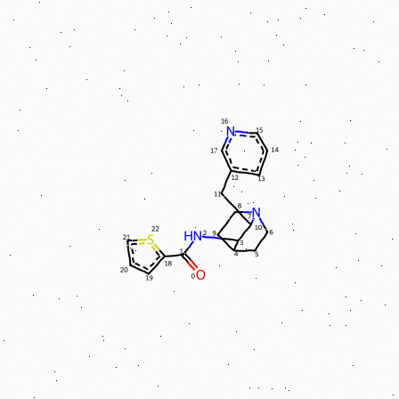 O=C(NC1C2CCN(CC2)C1Cc1cccnc1)c1cccs1